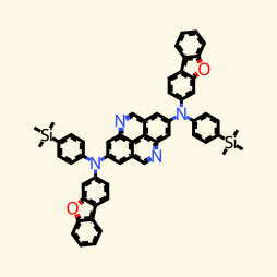 C[Si](C)(C)c1ccc(N(c2cc3cnc4cc(N(c5ccc([Si](C)(C)C)cc5)c5ccc6c(c5)oc5ccccc56)cc5cnc(c2)c3c54)c2ccc3c(c2)oc2ccccc23)cc1